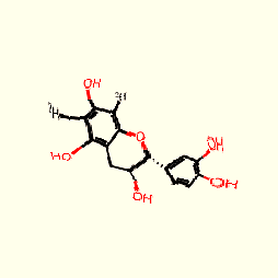 [2H]c1c(O)c([2H])c2c(c1O)C[C@H](O)[C@@H](c1ccc(O)c(O)c1)O2